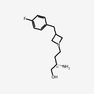 N[C@H](CO)CCN1CC(Cc2ccc(F)cc2)C1